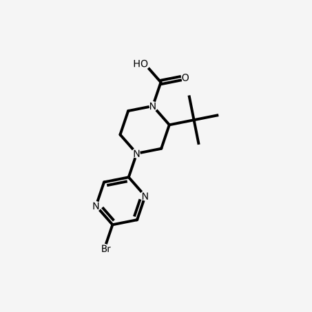 CC(C)(C)C1CN(c2cnc(Br)cn2)CCN1C(=O)O